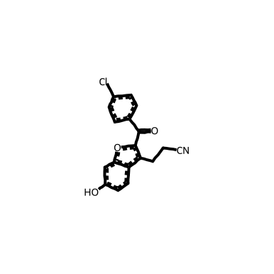 N#CCCc1c(C(=O)c2ccc(Cl)cc2)oc2cc(O)ccc12